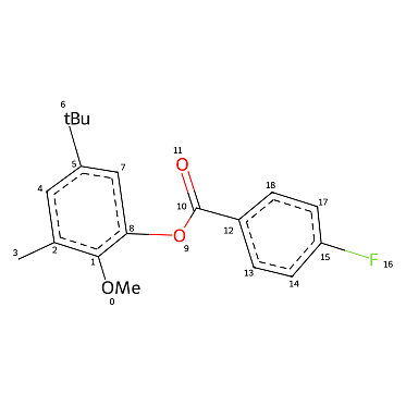 COc1c(C)cc(C(C)(C)C)cc1OC(=O)c1ccc(F)cc1